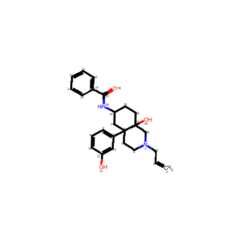 C=CCN1CCC2(c3cccc(O)c3)CC(NC(=O)c3ccccc3)CCC2(O)C1